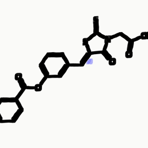 O=C(O)CN1C(=O)/C(=C/c2cccc(OC(=O)c3ccccc3)c2)SC1=S